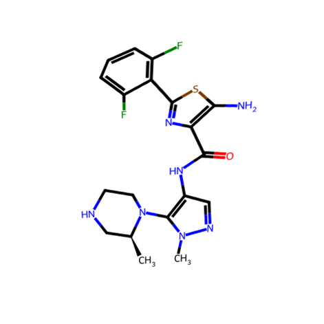 C[C@H]1CNCCN1c1c(NC(=O)c2nc(-c3c(F)cccc3F)sc2N)cnn1C